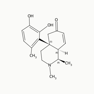 Cc1ccc(O)c(O)c1[C@]12CCN(C)[C@H](C)[C@@H]1C=CC(=O)C2